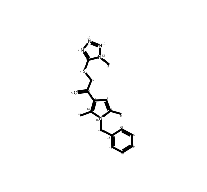 Cc1cc(C(=O)CSc2nnnn2C)c(C)n1Cc1ccccc1